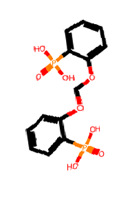 O=P(O)(O)c1ccccc1OCOc1ccccc1P(=O)(O)O